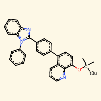 CC(C)(C)[Si](C)(C)Oc1ccc(-c2ccc(-c3nc4ccccc4n3-c3ccccc3)cc2)c2cccnc12